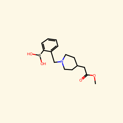 COC(=O)CC1CCN(Cc2ccccc2B(O)O)CC1